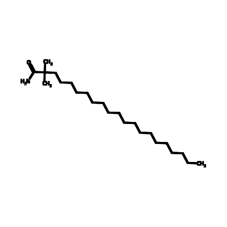 CCCCCCCCCCCCCCCCCCCC(C)(C)C(N)=O